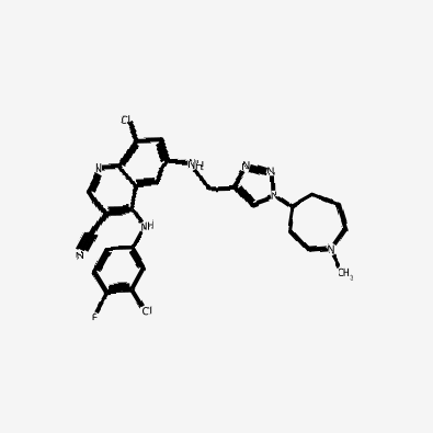 CN1CCCC(n2cc(CNc3cc(Cl)c4ncc(C#N)c(Nc5ccc(F)c(Cl)c5)c4c3)nn2)CC1